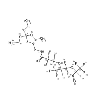 CCO[Si](CCCNC(=O)C(F)(F)C(F)(F)OC(F)(C(F)(F)F)C(F)(F)OC(F)([C]=O)C(F)(F)F)(OCC)OCC